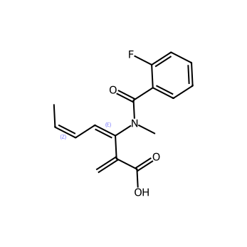 C=C(C(=O)O)/C(=C\C=C/C)N(C)C(=O)c1ccccc1F